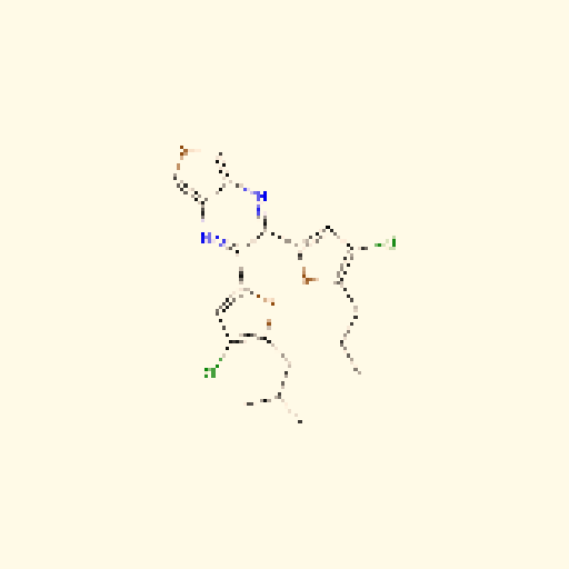 CC(C)Cc1sc(-c2nc3cscc3nc2-c2cc(Cl)c(CC(C)C)s2)cc1Cl